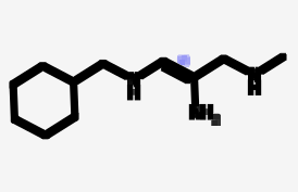 CNC/C(N)=C/NCC1CCCCC1